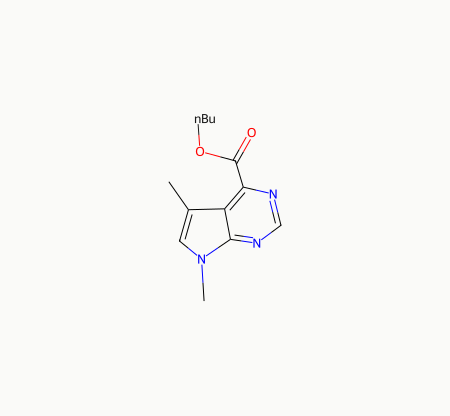 CCCCOC(=O)c1ncnc2c1c(C)cn2C